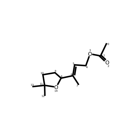 CC(=O)OCC=C(C)C1CCC(C)(C)O1